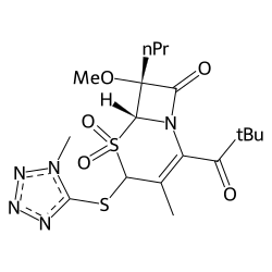 CCC[C@@]1(OC)C(=O)N2C(C(=O)C(C)(C)C)=C(C)C(Sc3nnnn3C)S(=O)(=O)[C@@H]21